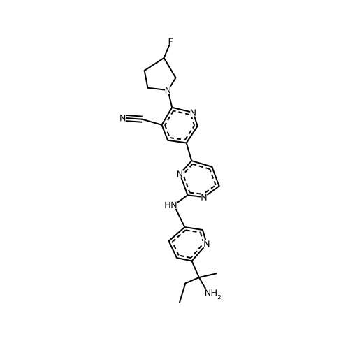 CCC(C)(N)c1ccc(Nc2nccc(-c3cnc(N4CCC(F)C4)c(C#N)c3)n2)cn1